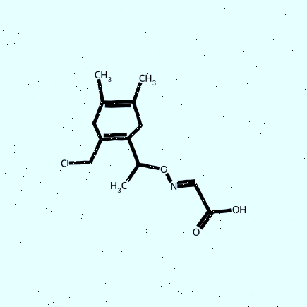 CC1=C(C)CC(C(C)ON=CC(=O)O)=C(CCl)C1